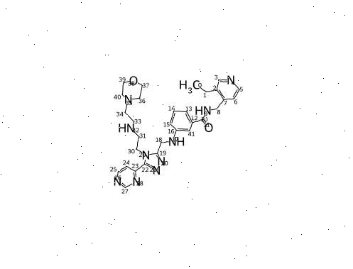 CCc1cnccc1CNC(=O)c1cccc(NCc2nnc(-c3ccncn3)n2CCNCCN2CCOCC2)c1